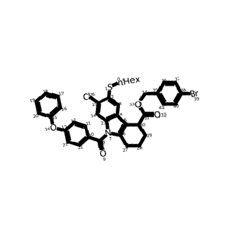 CCCCCCSc1cc2c3c(n(C(=O)c4ccc(Oc5ccccc5)cc4)c2cc1Cl)CCCC3C(=O)OCc1ccc(Br)cc1